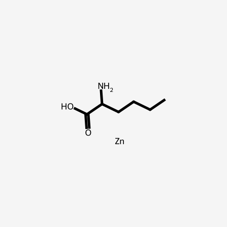 CCCCC(N)C(=O)O.[Zn]